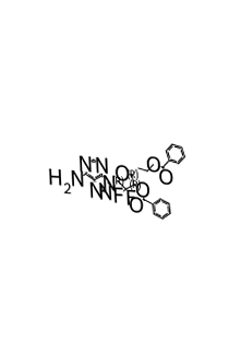 Nc1ncnc2c1nnn2[C@@H]1O[C@H](CCOC(=O)c2ccccc2)[C@@H](OC(=O)c2ccccc2)C1(F)F